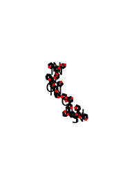 c1ccc(-c2nc(-c3ccccc3)nc(-c3cccc(-n4c5ccccc5c5cc6oc7nc(-c8cccc(-c9ccc%10c(c9)oc9c(-c%11ccc(-n%12c%13ccccc%13c%13cc%14sc%15nc(-c%16ccccc%16)nc(-c%16ccccc%16)c%15c%14cc%13%12)cc%11)cccc9%10)c8)nc(-c8ccccc8)c7c6cc54)c3)n2)cc1